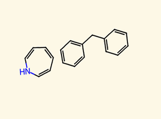 C1=CC=CNC=C1.c1ccc(Cc2ccccc2)cc1